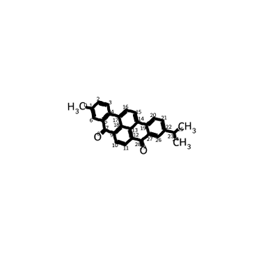 Cc1ccc2c(c1)C(=O)c1ccc3c4c(ccc-2c14)-c1ccc(C(C)C)cc1C3=O